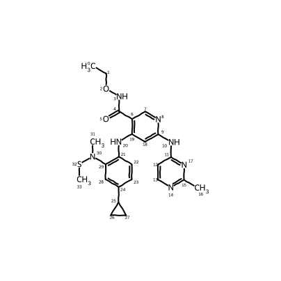 CCONC(=O)c1cnc(Nc2ccnc(C)n2)cc1Nc1ccc(C2CC2)cc1N(C)SC